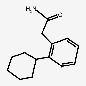 NC(=O)Cc1ccc[c]c1C1CCCCC1